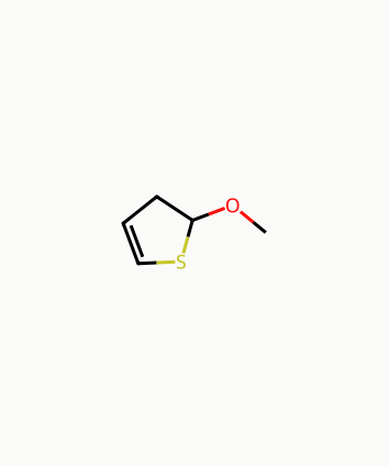 COC1CC=CS1